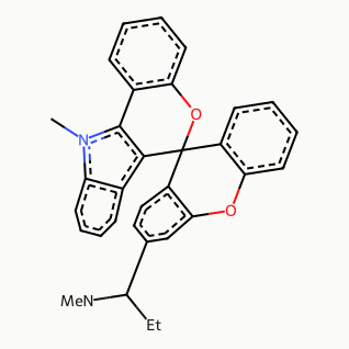 CCC(NC)c1ccc2c(c1)Oc1ccccc1C21Oc2ccccc2-c2c1c1ccccc1n2C